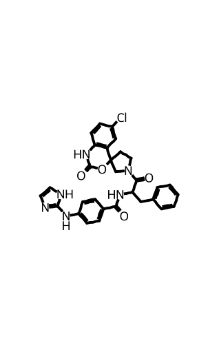 O=C1Nc2ccc(Cl)cc2C2(CCN(C(=O)C(Cc3ccccc3)NC(=O)c3ccc(Nc4ncc[nH]4)cc3)C2)O1